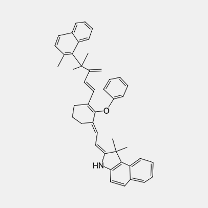 C=C(/C=C/C1=C(Oc2ccccc2)C(=C/C=C2/Nc3ccc4ccccc4c3C2(C)C)/CCC1)C(C)(C)c1c(C)ccc2ccccc12